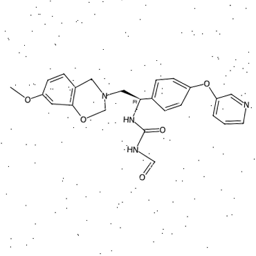 COc1ccc2c(c1)OCN(C[C@H](NC(=O)NC=O)c1ccc(Oc3cccnc3)cc1)C2